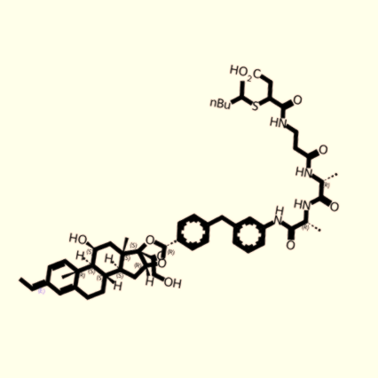 C/C=C1\C=C[C@@]2(C)C(=C1)CC[C@@H]1[C@@H]2[C@@H](O)C[C@@]2(C)[C@H]1C[C@H]1O[C@@H](c3ccc(Cc4cccc(NC(=O)[C@@H](C)NC(=O)[C@@H](C)NC(=O)CCNC(=O)C(CC(=O)O)SC(C)CCCC)c4)cc3)O[C@]12C(=O)CO